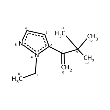 C=C(c1ccnn1CC)C(C)(C)C